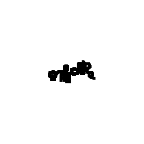 CCOCC1CCC(C)N1S(=O)(=O)c1ccc(NC(=O)NCc2cccnc2)cc1